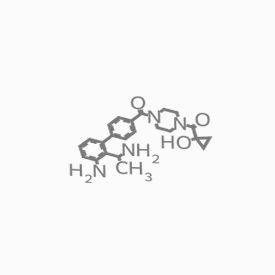 CC(N)c1c(N)cccc1-c1ccc(C(=O)N2CCN(C(=O)C3(O)CC3)CC2)cc1